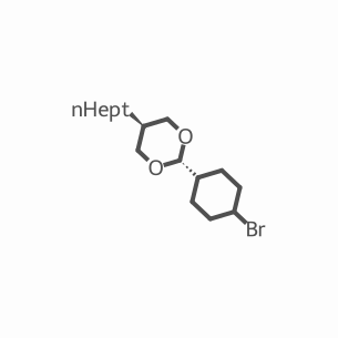 CCCCCCC[C@H]1CO[C@H](C2CCC(Br)CC2)OC1